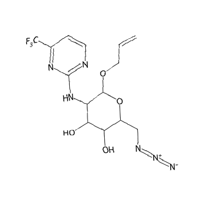 C=CCOC1OC(CN=[N+]=[N-])C(O)C(O)C1Nc1nccc(C(F)(F)F)n1